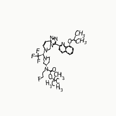 CC(C)Oc1cccc2ccc(-c3nnc4n3CN([C@@H](N3CC[C@H](N(CCF)C(=O)OC(C)(C)C)C3)C(F)(F)F)C=C4)nc12